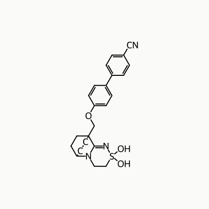 N#Cc1ccc(-c2ccc(OCC34CCC(CC3)N3CCS(O)(O)N=C34)cc2)cc1